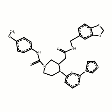 COc1ccc(NC(=O)N2CCN(c3ccnc(-n4ccnc4)n3)C(CC(=O)NCc3ccc4c(c3)OCO4)C2)cc1